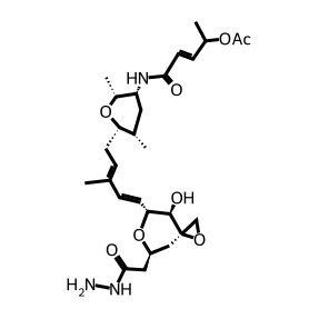 CC(=O)OC(C)C=CC(=O)N[C@@H]1C[C@H](C)[C@H](CC=C(C)C=C[C@H]2O[C@H](CC(=O)NN)C[C@@]3(CO3)[C@@H]2O)O[C@@H]1C